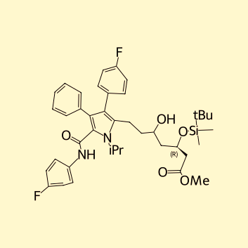 COC(=O)C[C@@H](CC(O)CCc1c(-c2ccc(F)cc2)c(-c2ccccc2)c(C(=O)Nc2ccc(F)cc2)n1C(C)C)O[Si](C)(C)C(C)(C)C